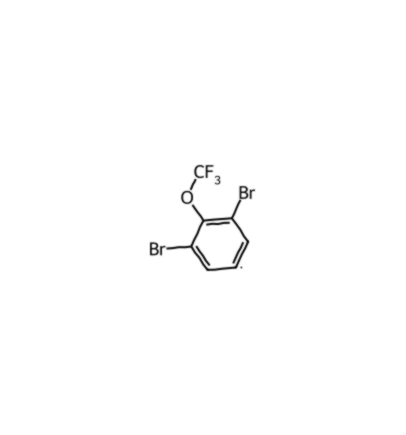 FC(F)(F)Oc1c(Br)c[c]cc1Br